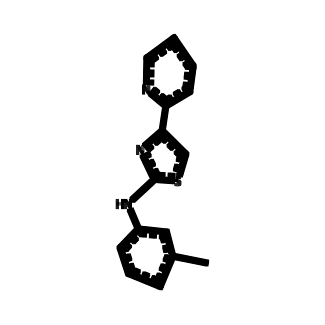 Cc1cccc(Nc2nc(-c3ccccn3)cs2)c1